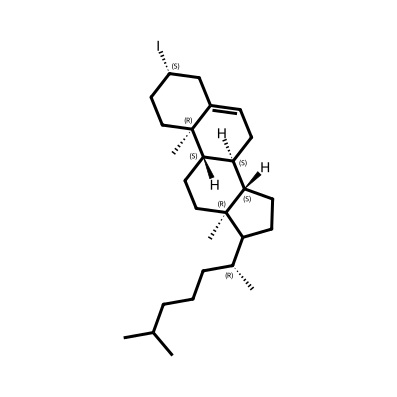 CC(C)CCC[C@@H](C)C1CC[C@H]2[C@@H]3CC=C4C[C@@H](I)CC[C@]4(C)[C@H]3CC[C@]12C